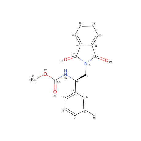 Cc1cccc([C@H](CN2C(=O)c3ccccc3C2=O)NC(=O)OC(C)(C)C)c1